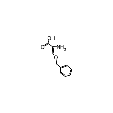 N/C(=C\OCc1ccccc1)C(=O)O